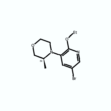 CCOc1ncc(Br)cc1N1CCOC[C@@H]1C